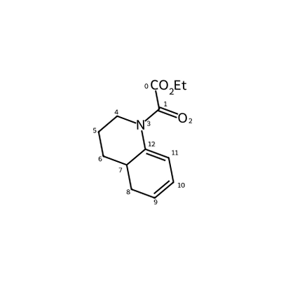 CCOC(=O)C(=O)N1CCCC2CC=CC=C21